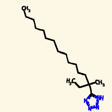 CCCCCCCCCCCCCC(C)(CC)c1nnn[nH]1